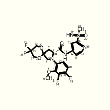 COc1c(N2CC3(C[C@@H]2C(=O)Nc2ccnc([S@](C)(=N)=O)c2)OCC(F)(F)CO3)ccc(F)c1F